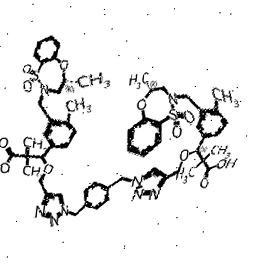 Cc1ccc(C(OCc2cn(Cc3ccc(Cn4cc(CO[C@@H](c5ccc(C)c(CN6C[C@@H](C)Oc7ccccc7S6(=O)=O)c5)C(C)(C)C(=O)O)nn4)cc3)nn2)C(C)(C)C(=O)O)cc1CN1C[C@@H](C)Oc2ccccc2S1(=O)=O